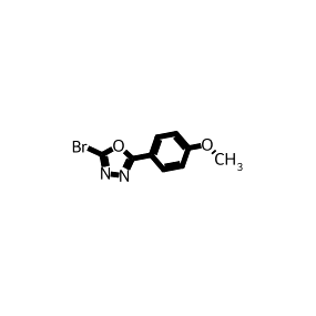 COc1ccc(-c2nnc(Br)o2)cc1